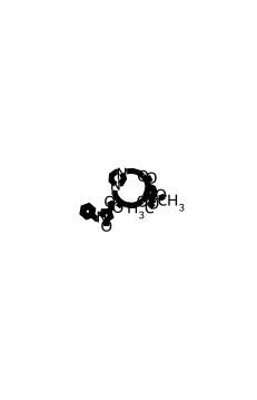 COc1cc2cc(c1OC)OCCCC(OC(=O)C1CC(=O)N(Cc3ccccc3)C1)CCN1CCCN(CCCOC2=O)CC1